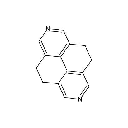 c1ncc2c3c1CCc1cncc(c1-3)CC2